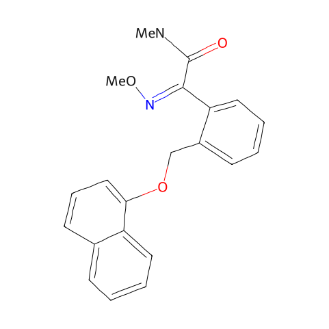 CNC(=O)C(=NOC)c1ccccc1COc1cccc2ccccc12